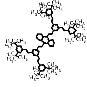 CC(C)(C)c1cc(C=Cc2cc(C=Cc3cc(C(C)(C)C)cc(C(C)(C)C)c3)cc(C=Cc3c4ccccc4c(C=Cc4cc(C=Cc5cc(C(C)(C)C)cc(C(C)(C)C)c5)cc(C=Cc5cc(C(C)(C)C)cc(C(C)(C)C)c5)c4)c4ccccc34)c2)cc(C(C)(C)C)c1